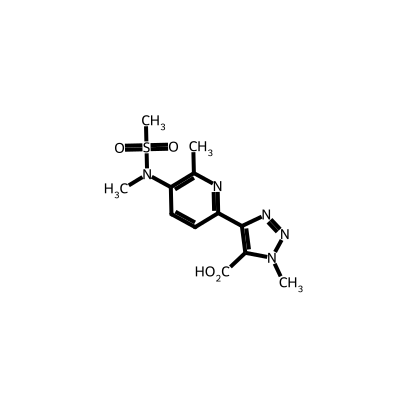 Cc1nc(-c2nnn(C)c2C(=O)O)ccc1N(C)S(C)(=O)=O